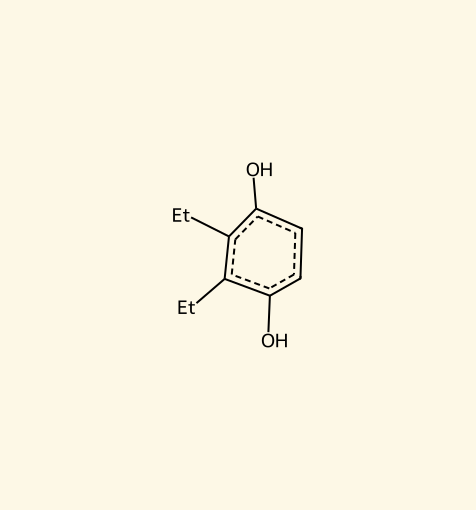 CCc1c(O)ccc(O)c1CC